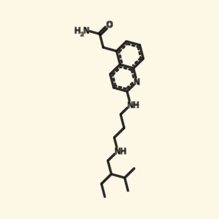 CCC(CNCCCNc1ccc2c(CC(N)=O)cccc2n1)C(C)C